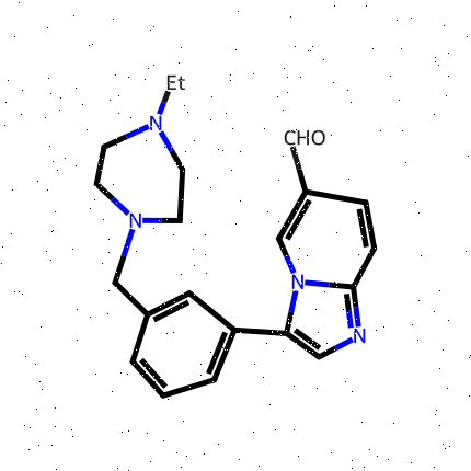 CCN1CCN(Cc2cccc(-c3cnc4ccc(C=O)cn34)c2)CC1